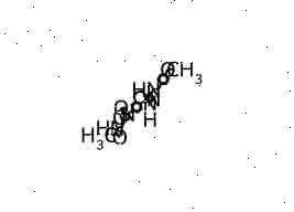 COc1ccc(CNc2n[nH]c3c2CCCc2cc(N4CC(CNC(C)=O)OC4=O)ccc2-3)cc1